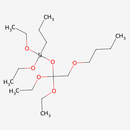 CCCCOCC(OCC)(OCC)O[Si](CCC)(OCC)OCC